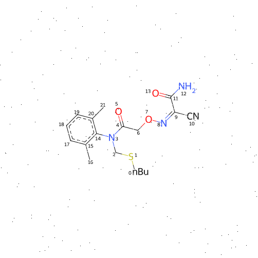 CCCCSCN(C(=O)CON=C(C#N)C(N)=O)c1c(C)cccc1C